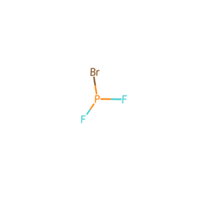 FP(F)Br